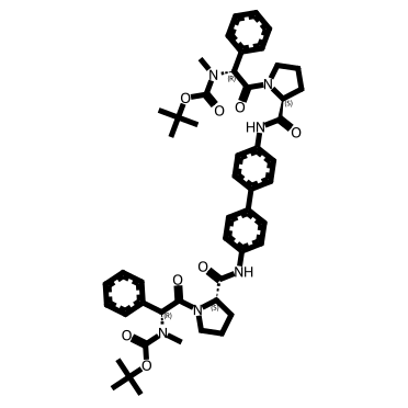 CN(C(=O)OC(C)(C)C)[C@@H](C(=O)N1CCC[C@H]1C(=O)Nc1ccc(-c2ccc(NC(=O)[C@@H]3CCCN3C(=O)[C@@H](c3ccccc3)N(C)C(=O)OC(C)(C)C)cc2)cc1)c1ccccc1